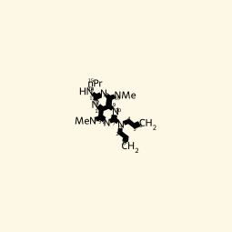 C=CCN(CC=C)c1nc(NC)c2nc(NCCC)nc(NC)c2n1